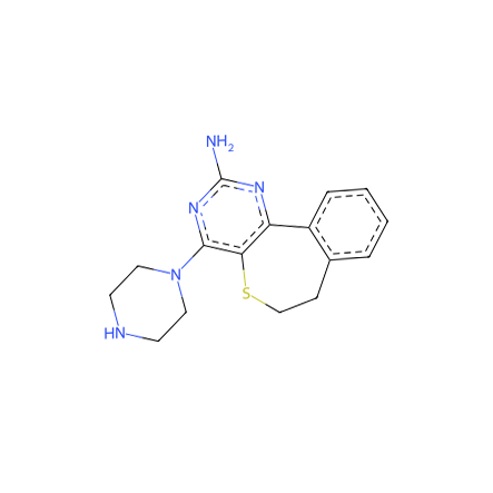 Nc1nc2c(c(N3CCNCC3)n1)SCCc1ccccc1-2